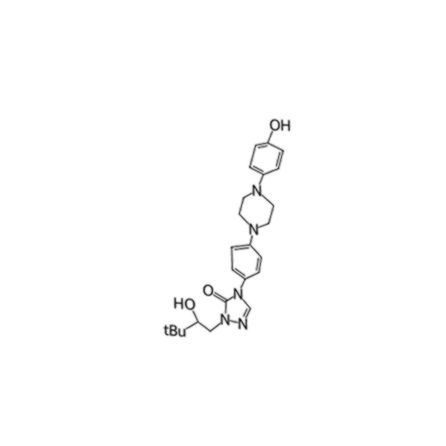 CC(C)(C)C(O)Cn1ncn(-c2ccc(N3CCN(c4ccc(O)cc4)CC3)cc2)c1=O